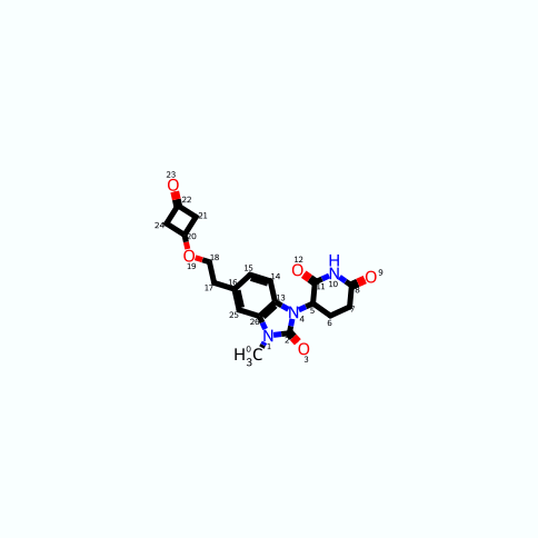 Cn1c(=O)n(C2CCC(=O)NC2=O)c2ccc(CCOC3CC(=O)C3)cc21